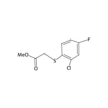 COC(=O)CSc1c[c]c(F)cc1Cl